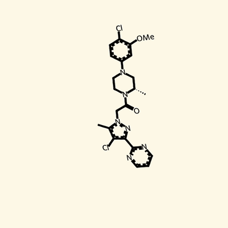 COc1cc(N2CCN(C(=O)Cn3nc(-c4ncccn4)c(Cl)c3C)[C@@H](C)C2)ccc1Cl